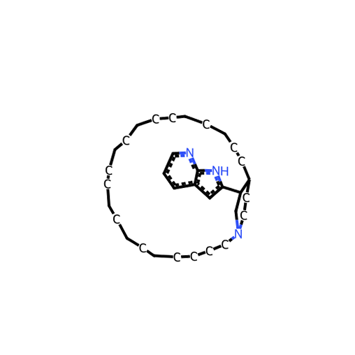 c1cnc2[nH]c(C3CN4CCCCCCCCCCCCCCCCCCCCCC3CC4)cc2c1